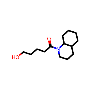 O=C(CCCCO)N1CCCC2CCCCC21